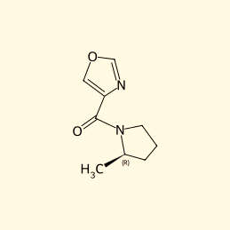 C[C@@H]1CCCN1C(=O)c1cocn1